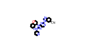 N#CC1=Cc2c(ncn2-c2ncc3nc(Nc4cccnc4)n([C@@H]4CCOC5C=CC=CC54)c3n2)CC1